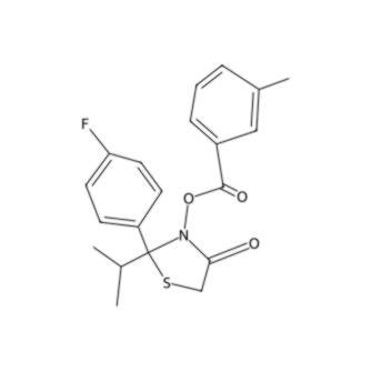 Cc1cccc(C(=O)ON2C(=O)CSC2(c2ccc(F)cc2)C(C)C)c1